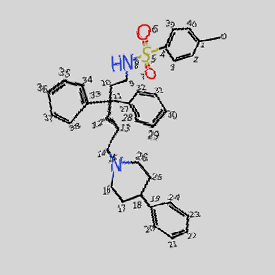 Cc1ccc(S(=O)(=O)NCCC(CCCN2CCC(c3ccccc3)CC2)(c2ccccc2)c2ccccc2)cc1